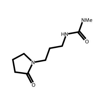 CNC(=O)NCCCN1CCCC1=O